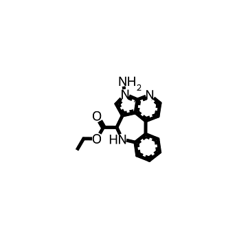 CCOC(=O)C1Nc2ccccc2-c2ccnc3c2c1cn3N